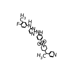 Cc1cc(Nc2ccnc(Nc3ccc(S(=O)(=O)N4CCC(C(C)c5ccncc5)CC4)cc3)n2)ccc1F